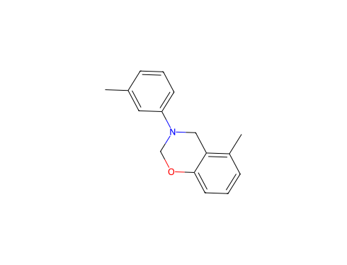 Cc1cccc(N2COc3cccc(C)c3C2)c1